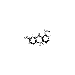 COc1ncccc1Nc1nc(Cl)ccc1[N+](=O)[O-]